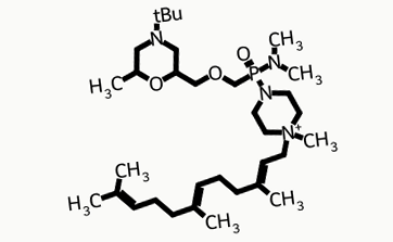 CC(C)=CCC/C(C)=C/CC/C(C)=C/C[N+]1(C)CCN(P(=O)(COCC2CN(C(C)(C)C)CC(C)O2)N(C)C)CC1